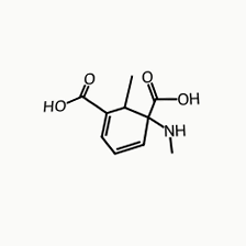 CNC1(C(=O)O)C=CC=C(C(=O)O)C1C